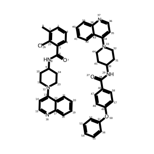 Cc1cccc(C(=O)NC2CCN(c3ccnc4ccccc34)CC2)c1Cl.O=C(NC1CCN(c2ccnc3ccccc23)CC1)c1ccc(Oc2ccccc2)cc1